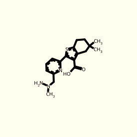 CN(N)Cc1cccc(-c2sc3c(c2C(=O)O)CC(C)(C)CC3)n1